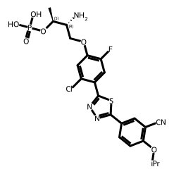 CC(C)Oc1ccc(-c2nnc(-c3cc(F)c(OC[C@@H](N)[C@H](C)OP(=O)(O)O)cc3Cl)s2)cc1C#N